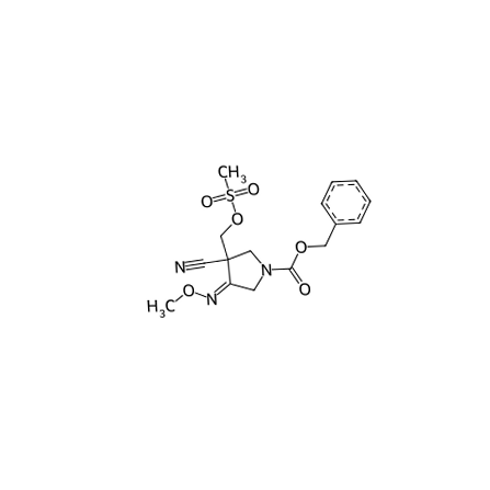 CON=C1CN(C(=O)OCc2ccccc2)CC1(C#N)COS(C)(=O)=O